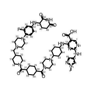 Cn1cc(Nc2ncc(C(=O)O)c(NC3CCC(N4CCN(C(=O)C5CCC(C(=O)N6CCC(CN7CCN(c8ccc(NC9CCC(=O)NC9=O)cc8F)CC7)CC6)CC5)CC4)CC3)n2)cn1